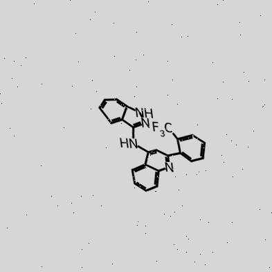 FC(F)(F)c1ccccc1-c1cc(Nc2n[nH]c3ccccc23)c2ccccc2n1